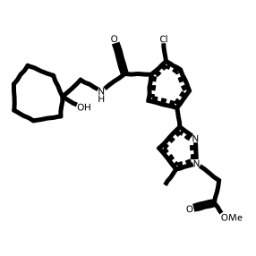 COC(=O)Cn1nc(-c2ccc(Cl)c(C(=O)NCC3(O)CCCCCC3)c2)cc1C